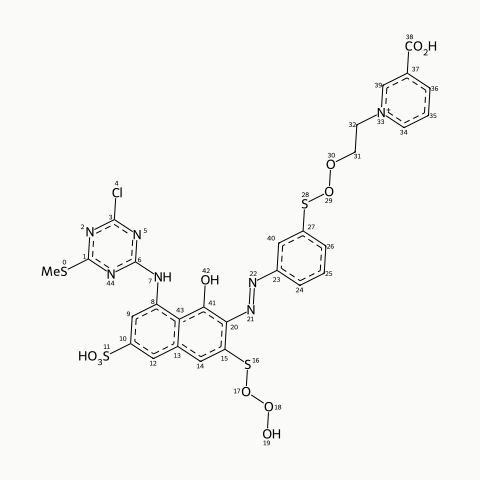 CSc1nc(Cl)nc(Nc2cc(S(=O)(=O)O)cc3cc(SOOO)c(N=Nc4cccc(SOOCC[n+]5cccc(C(=O)O)c5)c4)c(O)c23)n1